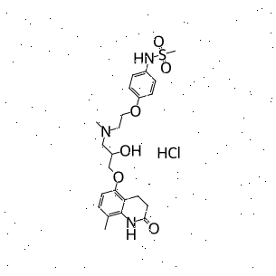 Cc1ccc(OCC(O)CN(C)CCOc2ccc(NS(C)(=O)=O)cc2)c2c1NC(=O)CC2.Cl